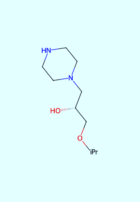 CC(C)OC[C@H](O)CN1CCNCC1